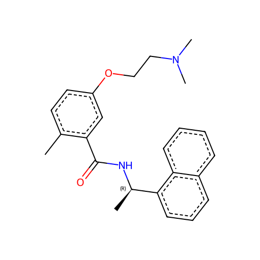 Cc1ccc(OCCN(C)C)cc1C(=O)N[C@H](C)c1cccc2ccccc12